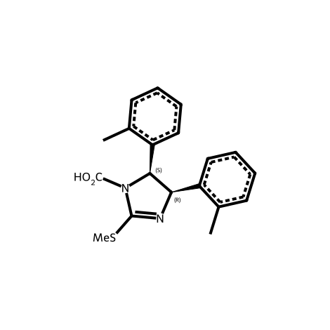 CSC1=N[C@H](c2ccccc2C)[C@H](c2ccccc2C)N1C(=O)O